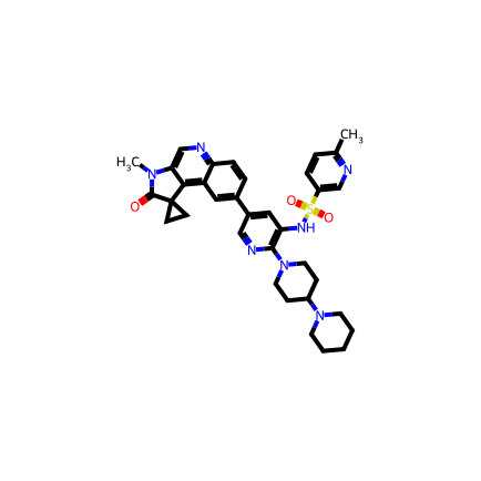 Cc1ccc(S(=O)(=O)Nc2cc(-c3ccc4ncc5c(c4c3)C3(CC3)C(=O)N5C)cnc2N2CCC(N3CCCCC3)CC2)cn1